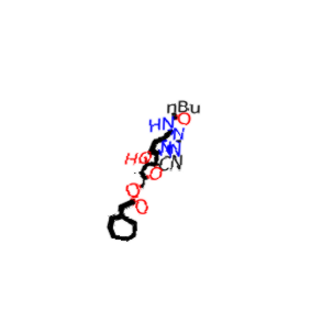 CCCCC(=O)Nc1ncnn2c([C@]3(C#N)O[C@@H](COC(=O)CC4CCCCCC4)[CH][C@H]3O)ccc12